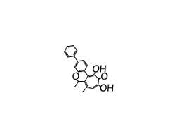 CC(=O)c1c(C)cc(O)c(=O)c(O)c1-c1ccc(-c2ccccc2)cc1